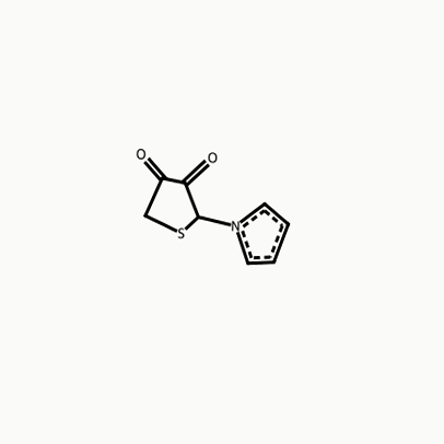 O=C1CSC(n2cccc2)C1=O